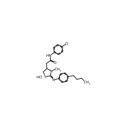 CCCCc1ccc(N=C2SCC(CC(=O)Nc3ccc(Cl)cc3)N2C)cc1.Cl